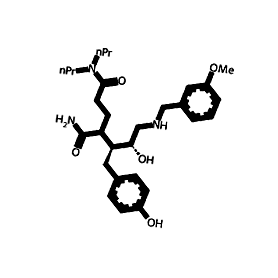 CCCN(CCC)C(=O)CCC(C(N)=O)[C@H](Cc1ccc(O)cc1)[C@@H](O)CNCc1cccc(OC)c1